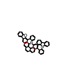 c1ccc(N(c2ccc(-c3ccccc3-n3c4ccccc4c4ccccc43)cc2)c2cccc3ccc4ccccc4c23)c(-c2cccc3c2oc2ccccc23)c1